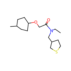 CCN(CC1CCSC1)C(=O)COC1CCC(C)CC1